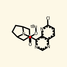 CC(C)(C)OC(=O)N1C2CCC1CN(c1ncnc3ccc(Cl)nc13)C2